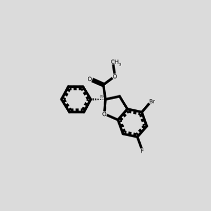 COC(=O)[C@@]1(c2ccccc2)Cc2c(Br)cc(F)cc2O1